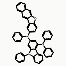 c1ccc(N(c2ccc3oc4cc5ccccc5cc4c3c2)c2cc(N(c3ccccc3)c3ccccc3)c3c4ccccc4n(-c4ccccc4)c3c2)cc1